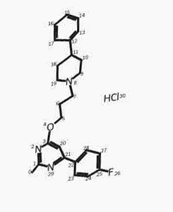 Cc1nc(OCCCN2CCC(c3ccccc3)CC2)cc(-c2ccc(F)cc2)n1.Cl